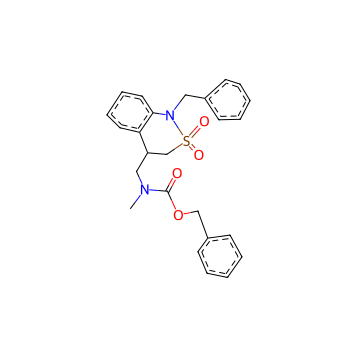 CN(CC1CS(=O)(=O)N(Cc2ccccc2)c2ccccc21)C(=O)OCc1ccccc1